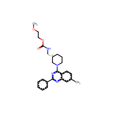 COCCOC(=O)NC[C@@H]1CCCN(c2nc(-c3ccccc3)nc3cc(C)ccc23)C1